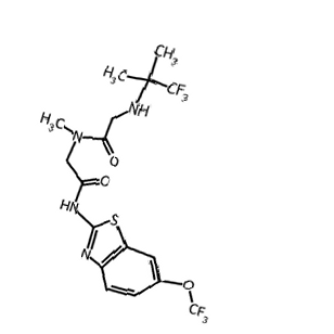 CN(CC(=O)Nc1nc2ccc(OC(F)(F)F)cc2s1)C(=O)CNC(C)(C)C(F)(F)F